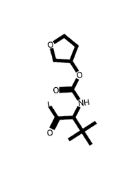 CC(C)(C)C(NC(=O)OC1CCOC1)C(=O)I